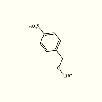 O=[C]OCc1ccc(S(=O)(=O)O)cc1